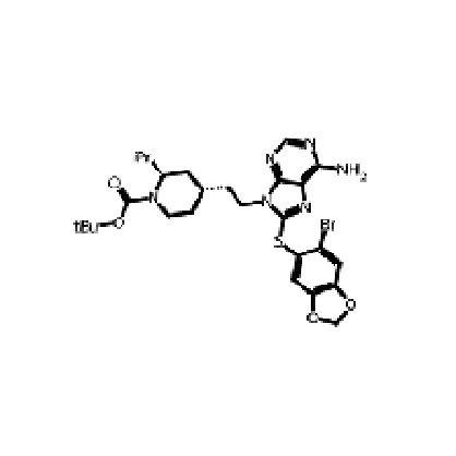 CC(C)[C@H]1C[C@H](CCn2c(Sc3cc4c(cc3Br)OCO4)nc3c(N)ncnc32)CCN1C(=O)OC(C)(C)C